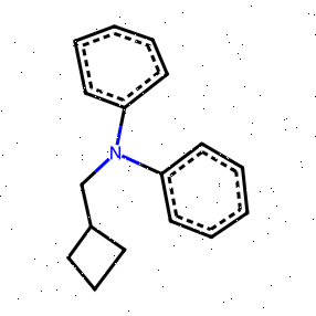 c1ccc(N(CC2CCC2)c2ccccc2)cc1